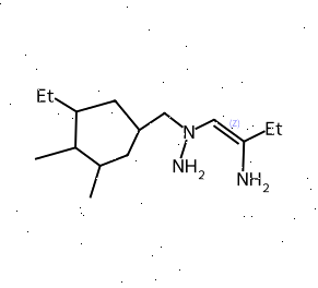 CC/C(N)=C/N(N)CC1CC(C)C(C)C(CC)C1